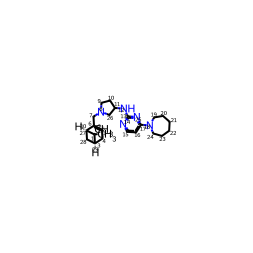 CC1(C)[C@H]2CC=C(CN3CCC(Nc4nccc(N5CCCCCC5)n4)C3)[C@@H]1C2